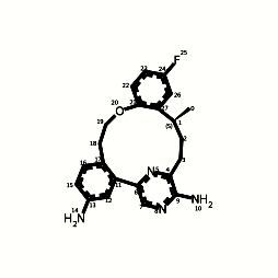 C[C@H]1CCc2nc(cnc2N)-c2cc(N)ccc2CCOc2ccc(F)cc21